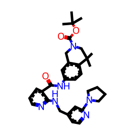 CC(C)(C)OC(=O)N1Cc2cc(NC(=O)c3cccnc3NCc3ccnc(N4CCCC4)c3)ccc2C(C)(C)C1